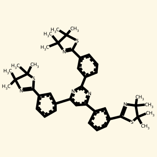 CC1(C)N=C(c2cccc(-c3cc(-c4cccc(C5=NC(C)(C)C(C)(C)S5)c4)nc(-c4cccc(C5=NC(C)(C)C(C)(C)S5)c4)n3)c2)SC1(C)C